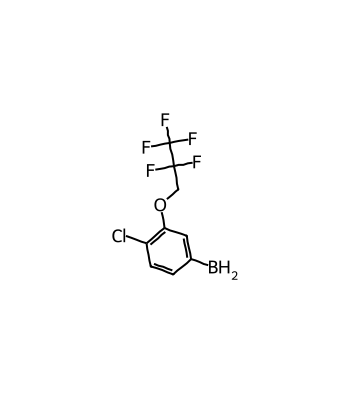 Bc1ccc(Cl)c(OCC(F)(F)C(F)(F)F)c1